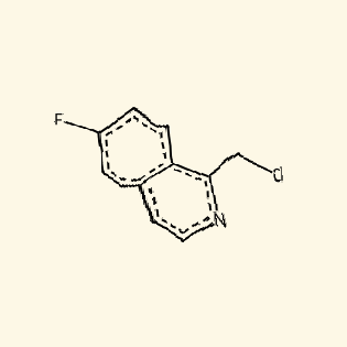 Fc1ccc2c(CCl)nccc2c1